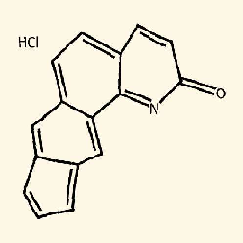 Cl.O=C1C=Cc2ccc3cc4c(cc3c2=N1)=CC=C4